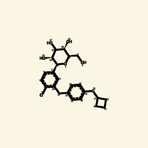 OC[C@H]1O[C@@H](c2ccc(Cl)c(Cc3ccc(OC4CCC4)cc3)c2)[C@H](O)C(O)[C@@H]1O